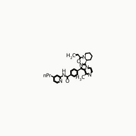 C=CC(=O)N1CCCC[C@H]1c1nc(-c2ccc(C(=O)Nc3cc(CCC)ccn3)cc2)c2c(C)nccn12